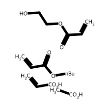 C=CC(=O)O.C=CC(=O)OCCCC.C=CC(=O)OCCO.CC(=O)O